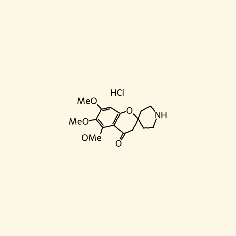 COc1cc2c(c(OC)c1OC)C(=O)CC1(CCNCC1)O2.Cl